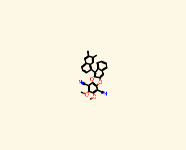 COc1c(C#N)c2c(c(C#N)c1OC)Oc1c(cc3ccccc3c1-c1cccc3cc(C)c(C)cc13)O2